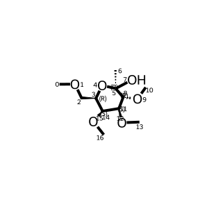 COC[C@H]1O[C@@](C)(O)[C@H](OC)[C@@H](OC)[C@H]1OC